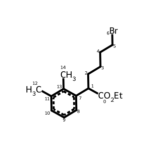 CCOC(=O)C(CCCCBr)c1cccc(C)c1C